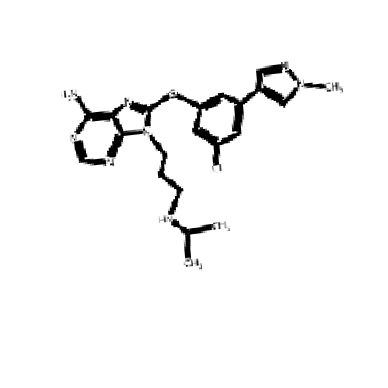 CC(C)NCCCn1c(Sc2cc(Cl)cc(-c3cnn(C)c3)c2)nc2c(N)ncnc21